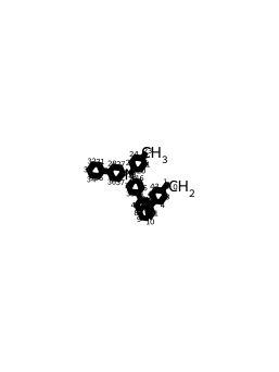 C=Cc1ccc(C23CC4CC(C2)CC(c2ccc(N(c5ccc(C)cc5)c5ccc(-c6ccccc6)cc5)cc2)(C4)C3)cc1